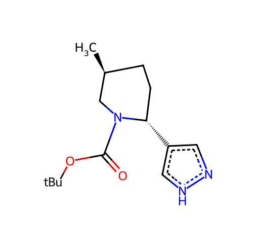 C[C@H]1CC[C@H](c2cn[nH]c2)N(C(=O)OC(C)(C)C)C1